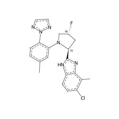 Cc1c[c]c(-n2nccn2)c(N2C[C@H](F)C[C@H]2c2nc3c(C)c(Cl)ccc3[nH]2)c1